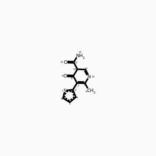 CC1=C(c2cccs2)C(=O)C(C(N)=O)C=N1